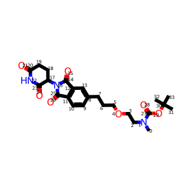 CN(CCOCCCc1ccc2c(c1)C(=O)N(C1CCC(=O)NC1=O)C2=O)C(=O)OC(C)(C)C